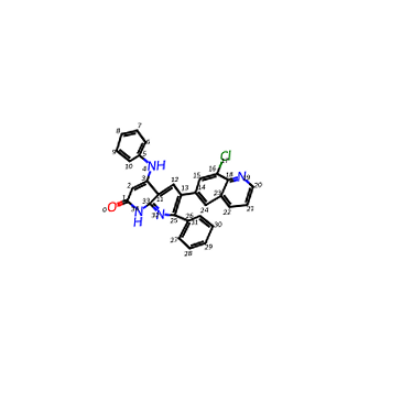 O=c1cc(Nc2ccccc2)c2cc(-c3cc(Cl)c4ncccc4c3)c(-c3ccccc3)nc2[nH]1